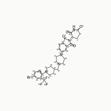 O=C1CCC(N2C(=O)c3ccc(N4CCN(CC5CCN(c6ncc(Br)cc6C(F)(F)F)CC5)CC4)cc3C2=O)C(=O)N1